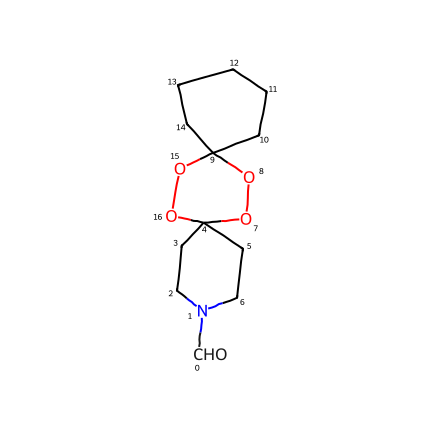 O=CN1CCC2(CC1)OOC1(CCCCC1)OO2